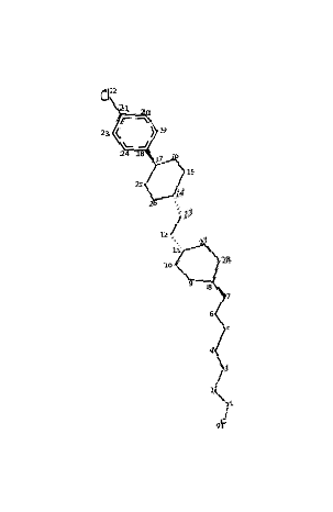 FCCCCCCC[C@H]1CC[C@H](CC[C@H]2CC[C@H](c3ccc(Cl)cc3)CC2)CC1